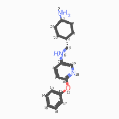 N[C@H]1CC[C@H](CNc2ccc(Oc3ccccc3)nc2)CC1